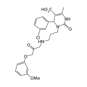 COc1cccc(OCC(=O)CNCCCN2C(=O)NC(C)=C(C(=O)O)C2c2cccc(Cl)c2)c1